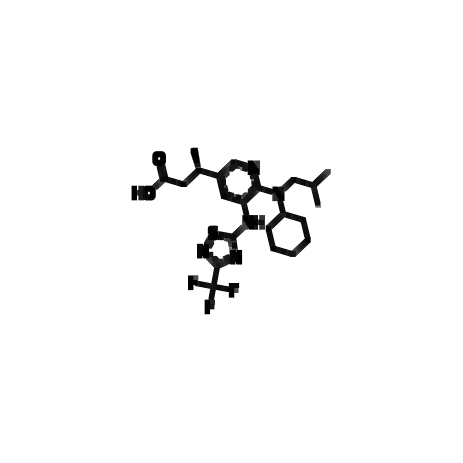 CC(C)CN(c1ncc([C@H](C)CC(=O)O)cc1Nc1nc(C(F)(F)F)ns1)C1CCCCC1